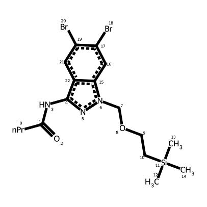 CCCC(=O)Nc1nn(COCC[Si](C)(C)C)c2cc(Br)c(Br)cc12